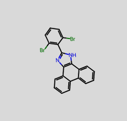 Brc1cccc(Br)c1-c1nc2c3ccccc3c3ccccc3c2[nH]1